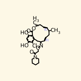 CC1/C=C/C[C@@H](C)OC(=O)c2c(O)cc(O)c(Cl)c2CC(=NOCC(=O)N2CCCCC2)/C=C/C1